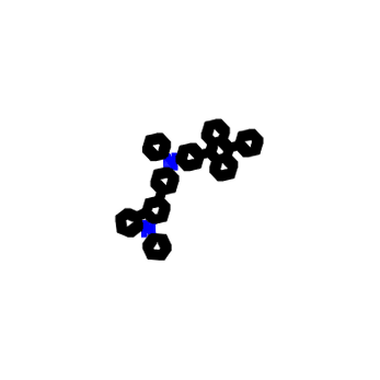 C1=CC2C(C=C1c1ccc(N(c3ccccc3)c3ccc(-c4c5ccccc5c(-c5ccccc5)c5ccccc45)cc3)cc1)c1ccccc1N2c1ccccc1